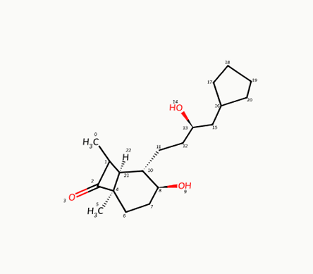 CC1C(=O)[C@]2(C)CC[C@H](O)[C@@H](CC[C@@H](O)CC3CCCC3)[C@H]12